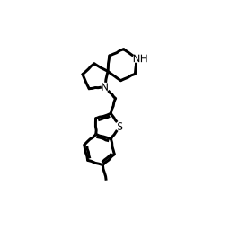 Cc1ccc2cc(CN3CCCC34CCNCC4)sc2c1